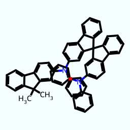 CC1(C)c2ccccc2-c2ccc(N(c3ccccc3)c3ccc4c(c3)C3(c5ccccc5-c5ccc(N(c6ccccc6)c6ccccc6)cc53)c3ccccc3-4)cc21